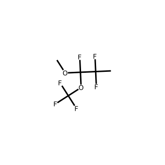 COC(F)(OC(F)(F)F)C(C)(F)F